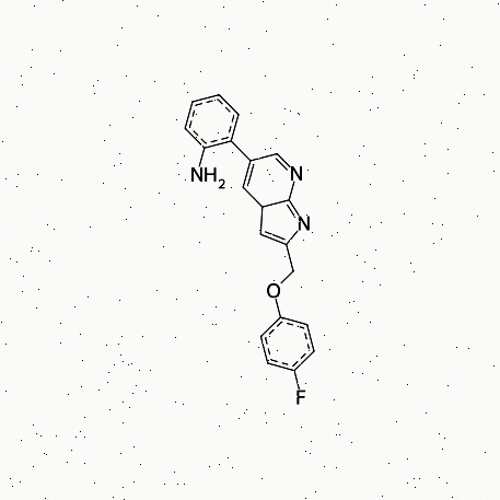 Nc1ccccc1C1=CC2C=C(COc3ccc(F)cc3)N=C2N=C1